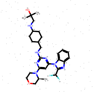 C[C@H]1COCCN1c1cc(-n2c(C(F)F)nc3ccccc32)nc(NCC2CCC(NCC(C)(C)O)CC2)n1